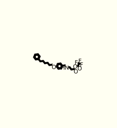 O=C(CCNCc1ccc(OCCCCCCc2ccccc2)cc1)OC(=O)C(F)(F)F